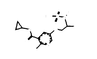 CC(=O)N(C(C)COc1cnc(Cl)c(C(=O)NC2CC2)c1)S(=O)(=O)C(F)(F)F